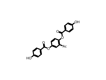 CC(=O)c1cc(OC(=O)c2ccc(O)cc2)ccc1OC(=O)c1ccc(O)cc1